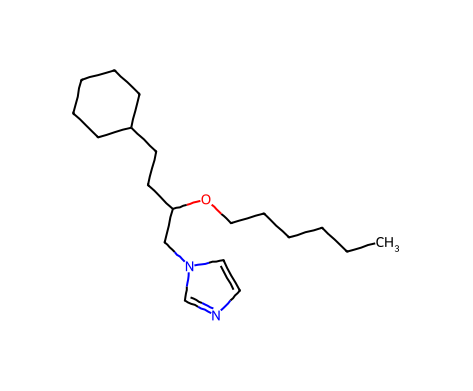 CCCCCCOC(CCC1CCCCC1)Cn1ccnc1